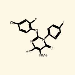 CNc1c(S)nc(Oc2ccc(Cl)cc2F)n(-c2ccc(F)cc2)c1=O